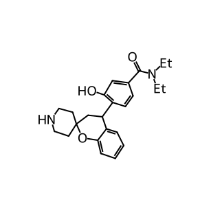 CCN(CC)C(=O)c1ccc(C2CC3(CCNCC3)Oc3ccccc32)c(O)c1